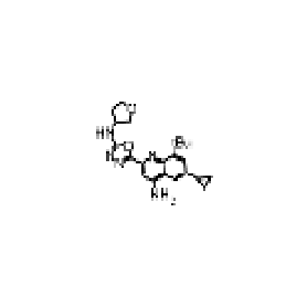 CC(C)(C)c1cc(C2CC2)cc2c(N)cc(-c3nnc(NC4CCOC4)o3)nc12